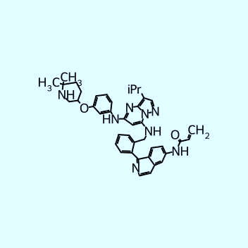 C=CC(=O)Nc1ccc2c(-c3ccccc3CNc3cc(Nc4cccc(OC5CCC(C)(C)NC5)c4)nc4c(C(C)C)cnn34)nccc2c1